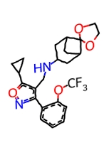 FC(F)(F)Oc1ccccc1-c1noc(C2CC2)c1CNC1CC2CCC(C1)C21OCCO1